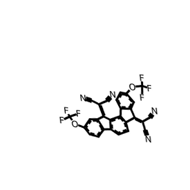 N#CC(C#N)=C1c2cc(OC(F)(F)F)ccc2-c2c1ccc1c2C(=C(C#N)C#N)c2cc(OC(F)(F)F)ccc2-1